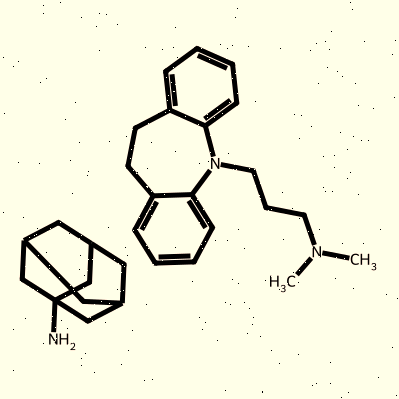 CN(C)CCCN1c2ccccc2CCc2ccccc21.NC12CC3CC(CC(C3)C1)C2